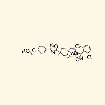 CCCC1(/C=C\c2c(-c3c(Cl)cccc3Cl)noc2C2CC2)CCC(C)(c2nc(-c3ccc(C(=O)O)cc3)no2)CC1